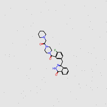 O=C(CN1CCCCC1)N1CCN(C(=O)c2cc(Cc3n[nH]c(=O)c4ccccc34)ccc2F)CC1